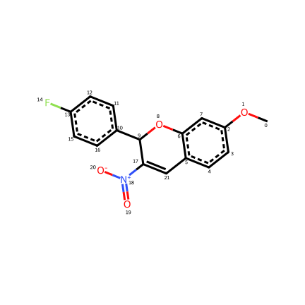 COc1ccc2c(c1)OC(c1ccc(F)cc1)C([N+](=O)[O-])=C2